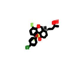 CC(O)CC[C@@H]1CCC[C@@]2(S(=O)(=O)c3ccc(Cl)cc3)c3c(F)ccc(F)c3OC[C@@H]12